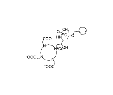 CS(=O)(=O)NC(CCOCc1ccccc1)C(O)C[N+]1([Gd])CCN(CC(=O)[O-])CCN(CC(=O)[O-])CCN(CC(=O)[O-])CC1